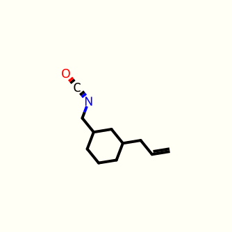 C=CCC1CCCC(CN=C=O)C1